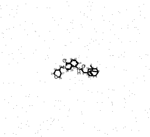 CC12C=C3CC(C1)CC(CC(=O)Nc1cccc4c(=O)n(CC5CCOCC5)ccc14)(C3)C2